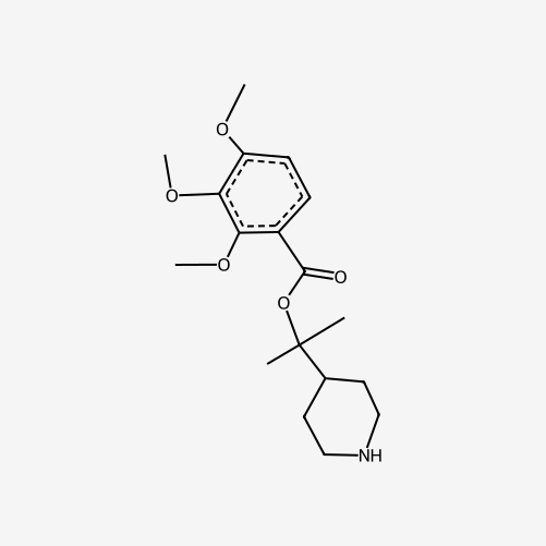 COc1ccc(C(=O)OC(C)(C)C2CCNCC2)c(OC)c1OC